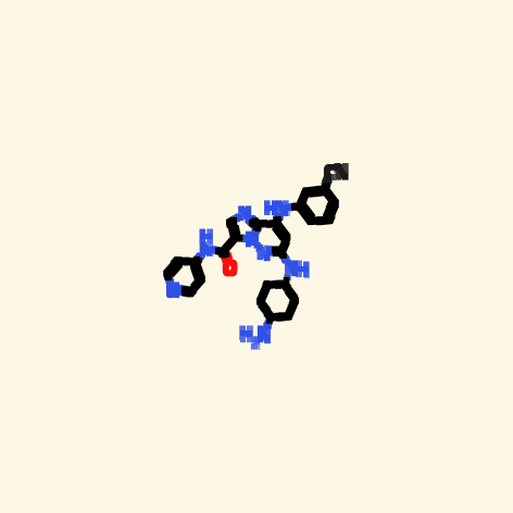 N#Cc1cccc(Nc2cc(N[C@H]3CC[C@H](N)CC3)nn3c(C(=O)Nc4ccncc4)cnc23)c1